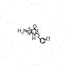 Nc1nc2[nH]c(SCc3cccc(Cl)c3)nc(=O)c2s1